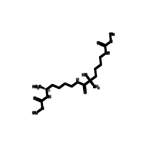 CC(C)(C)OC(=O)NCCCCC(N)(O)C(=O)NCCCC[C@H](NC(=O)OC(C)(C)C)C(=O)O